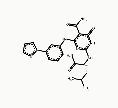 CC(C)C[C@@H](Nc1nc(Nc2cccc(-n3cccn3)c2)c(C(N)=O)c(=O)[nH]1)C(N)=O